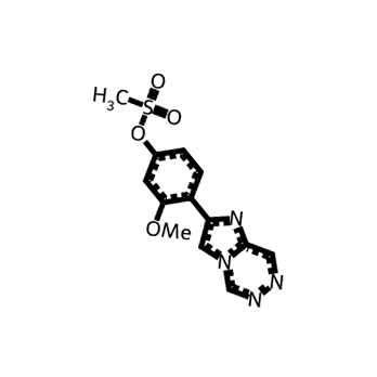 COc1cc(OS(C)(=O)=O)ccc1-c1cn2cnncc2n1